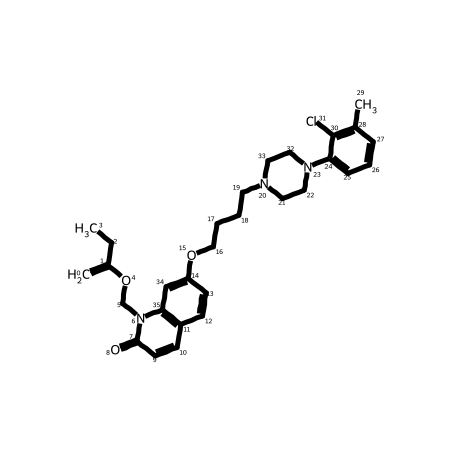 C=C(CC)OCn1c(=O)ccc2ccc(OCCCCN3CCN(c4cccc(C)c4Cl)CC3)cc21